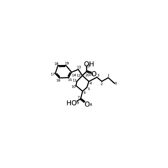 CCCCC1CC(C(=O)O)CCC1(Cc1ccccc1)C(=O)O